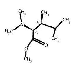 COC(=O)[C@H]([C@@H](C)C(C)C)N(C)C